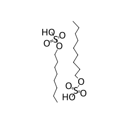 CCCCCCCCCOS(=O)(=O)O.CCCCCCCCOS(=O)(=O)O